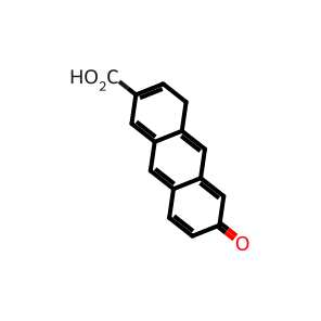 O=C1C=Cc2cc3c(cc2=C1)CC=C(C(=O)O)C=3